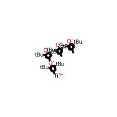 Cc1cc(C(C)(C)C)c([O-])c(C(C)(C)C)c1.Cc1cc(C(C)(C)C)c([O-])c(C(C)(C)C)c1.Cc1cc(C(C)(C)C)c([O-])c(C(C)(C)C)c1.Cc1cc(C(C)(C)C)c([O-])c(C(C)(C)C)c1.[Ti+4]